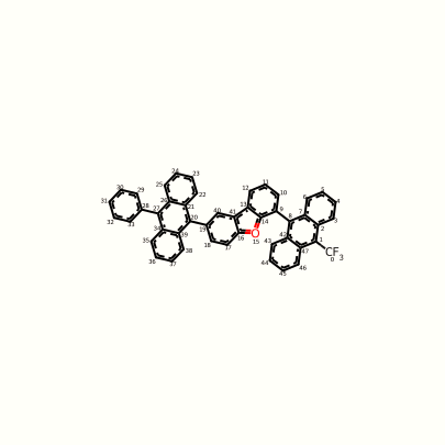 FC(F)(F)c1c2ccccc2c(-c2cccc3c2oc2ccc(-c4c5ccccc5c(-c5ccccc5)c5ccccc45)cc23)c2ccccc12